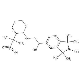 CC1(C)c2ccc(C(O)CNC3CCCCC3C(C)(C)[SH](=N)=O)cc2C(C)(C)N1O